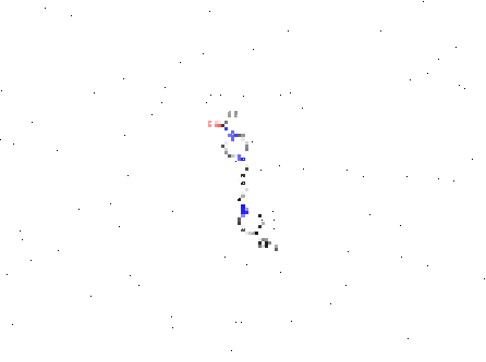 CC(=O)N1CCN(CCCCN2CCC(C)CC2)CC1